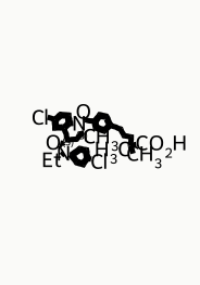 CCN(C(=O)[C@H]1C[C@H](C)N(C(=O)c2ccc(CCCC(C)(C)C(=O)O)cc2)c2ccc(Cl)cc21)c1ccc(Cl)cc1